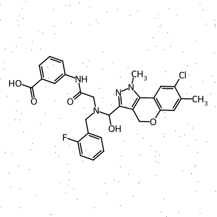 Cc1cc2c(cc1Cl)-c1c(c(C(O)N(CC(=O)Nc3cccc(C(=O)O)c3)Cc3ccccc3F)nn1C)CO2